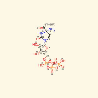 CCCCCC(=O)C1(N)C=CN([C@@H]2O[C@H](COP(=O)(O)OP(=O)(O)OP(=O)(O)O)[C@@H](O)[C@H]2O)C(=O)N1